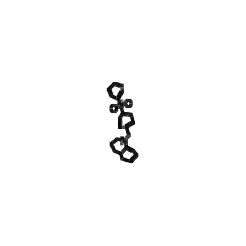 O=S(=O)(c1ccccc1)c1ccc(CN2CCCC3CC=CC=C32)cc1